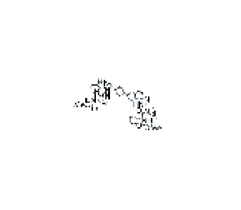 COC(=O)NC(C(=O)N1[C@@H]2CC[C@@H](C2)[C@H]1c1ncc(-c2ccc(-c3ccc4c(ccc5nc([C@@H]6CC7C(C)C7N6C(=O)[C@H](NC(=O)OC)c6ccccc6)[nH]c54)c3)cc2)[nH]1)C(C)C